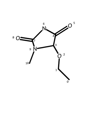 CCOC1C(=O)[N]C(=O)N1C